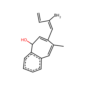 B/C(C=C)=C/C1=CC(O)c2ccccc2C=C1C